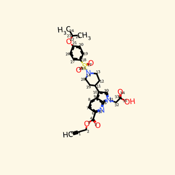 C#CCOC(=O)c1ccc2c(C3CCN(S(=O)(=O)c4ccc(OC(C)C)cc4)CC3)cn(CC(=O)O)c2n1